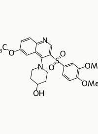 COc1ccc(S(=O)(=O)c2cnc3ccc(OC(F)(F)F)cc3c2N2CCC(O)CC2)cc1OC